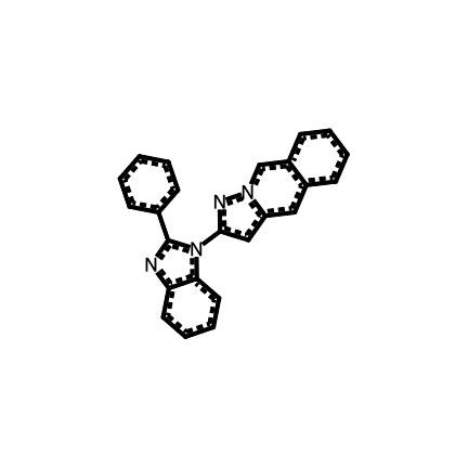 c1ccc(-c2nc3ccccc3n2-c2cc3cc4ccccc4cn3n2)cc1